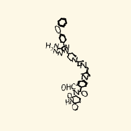 CN(C(=O)c1ccc(N2CC(CN3CC(N4CCC(n5nc(-c6ccc(Oc7ccccc7)cc6)c6c(N)ncnc65)CC4)C3)C2)cc1C=O)C1CCC(=O)NC1=O